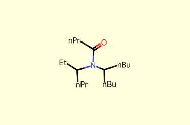 CCCCC(CCCC)N(C(=O)CCC)C(CC)CCC